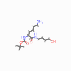 CC(C)(C)OC(=O)NC(CCCCN)C(=O)NCCCCO